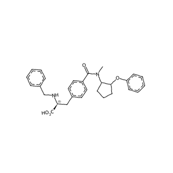 CN(C(=O)c1ccc(C[C@H](NCc2ccccc2)C(=O)O)cc1)C1CCCC1Oc1ccccc1